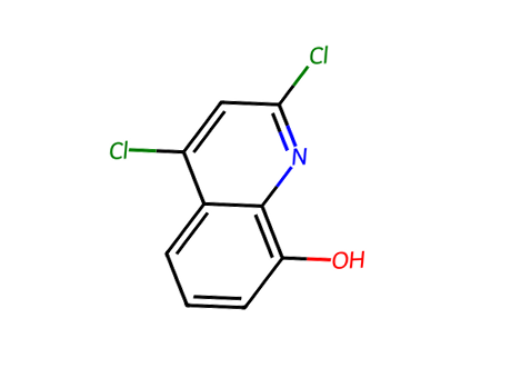 Oc1cccc2c(Cl)cc(Cl)nc12